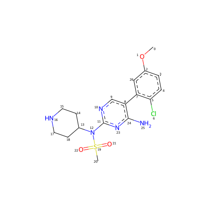 COc1[c]cc(Cl)c(-c2cnc(N(C3CCNCC3)S(C)(=O)=O)nc2N)c1